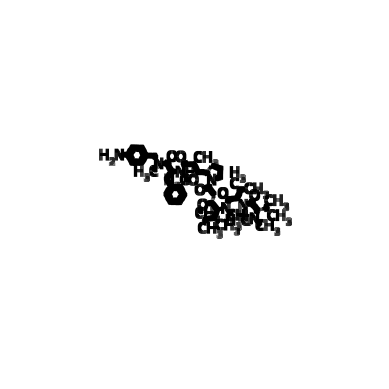 CC[C@H](C)[C@@H]([C@@H](CC(=O)N1CCC[C@H]1[C@H](OC)[C@@H](C)C(=O)NC(Cc1ccccc1)C(=O)N(C)Cc1ccc(N)cc1)OC)N(C)C(=O)[C@@H](NC(=O)[C@H](C(C)C)N(C)C)C(C)C